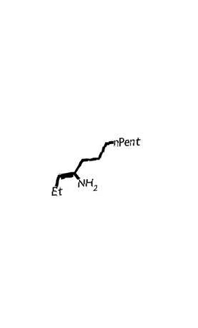 CCC=C(N)CCCCCCCC